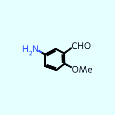 COc1ccc(N)cc1C=O